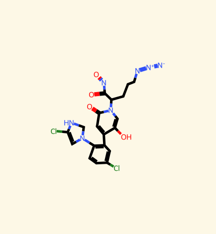 [N-]=[N+]=NCCCC(C(=O)N=O)n1cc(O)c(-c2cc(Cl)ccc2N2C=C(Cl)NC2)cc1=O